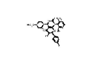 Cc1ccnc(C(C)C)c1-n1c(=O)nc(N2CCN(C(=O)O)C[C@@H]2C)c2cc(Cl)c(-c3ccc(F)cc3)nc21